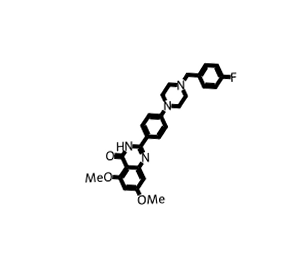 COc1cc(OC)c2c(=O)[nH]c(-c3ccc(N4CCN(Cc5ccc(F)cc5)CC4)cc3)nc2c1